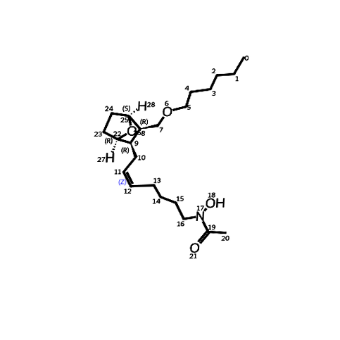 CCCCCCOC[C@H]1[C@@H](C/C=C\CCCCN(O)C(C)=O)[C@H]2CC[C@@H]1O2